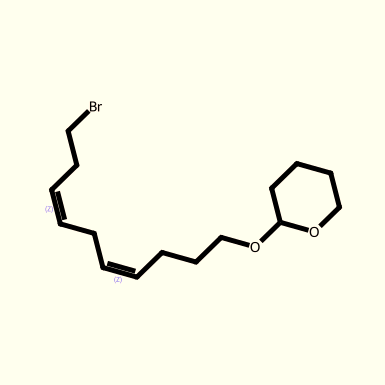 BrCC/C=C\C/C=C\CCCOC1CCCCO1